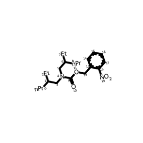 CCCC(CC)CN(CC(CC)CCC)C(=O)OCc1ccccc1[N+](=O)[O-]